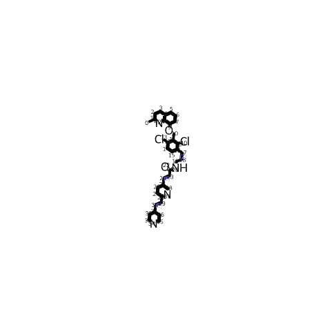 Cc1ccc2cccc(OCc3c(Cl)ccc(/C=C\CNC(=O)/C=C/c4ccc(/C=C/c5ccncc5)nc4)c3Cl)c2n1